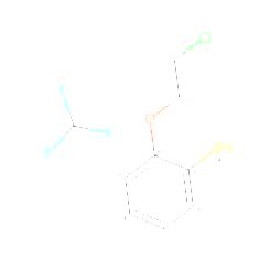 FC(F)F.Sc1ccccc1OCCCl